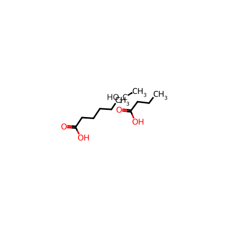 CC(=O)O.CCCC(=O)O.CCCCCC(=O)O